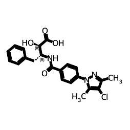 Cc1nn(-c2ccc(C(=O)N[C@H](Cc3ccccc3)[C@@H](O)C(=O)O)cc2)c(C)c1Cl